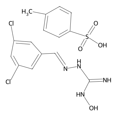 Cc1ccc(S(=O)(=O)O)cc1.N=C(NO)NN=Cc1cc(Cl)cc(Cl)c1